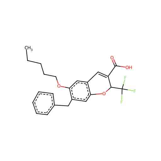 CCCCCOc1cc2c(cc1Cc1ccccc1)OC(C(F)(F)F)C(C(=O)O)=C2